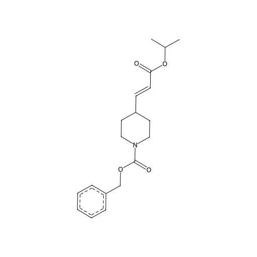 CC(C)OC(=O)/C=C/C1CCN(C(=O)OCc2ccccc2)CC1